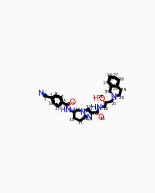 N#Cc1ccc(C(=O)NC2CCc3nc(C(=O)NCC(O)CN4CCc5ccccc5C4)cn3C2)cc1